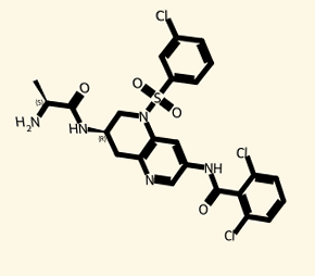 C[C@H](N)C(=O)N[C@@H]1Cc2ncc(NC(=O)c3c(Cl)cccc3Cl)cc2N(S(=O)(=O)c2cccc(Cl)c2)C1